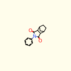 O=C1C2C3CCC(C3)C2C(=O)N1c1ccccc1